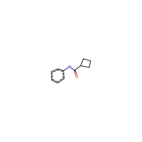 O=C([N]c1ccccc1)C1CCC1